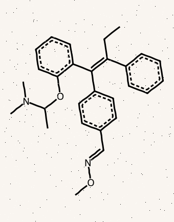 CCC(=C(c1ccc(C=NOC)cc1)c1ccccc1OC(C)N(C)C)c1ccccc1